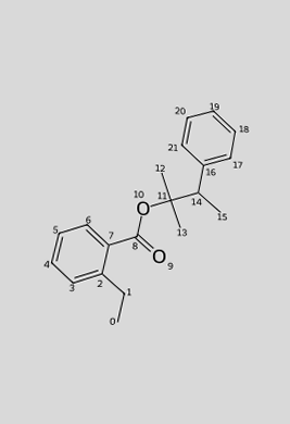 CCc1ccccc1C(=O)OC(C)(C)C(C)c1ccccc1